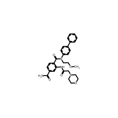 COCCN(C(=O)c1ccc(C(N)=O)cc1NC(=O)CN1CCOCC1)c1ccc(-c2ccccc2)cc1